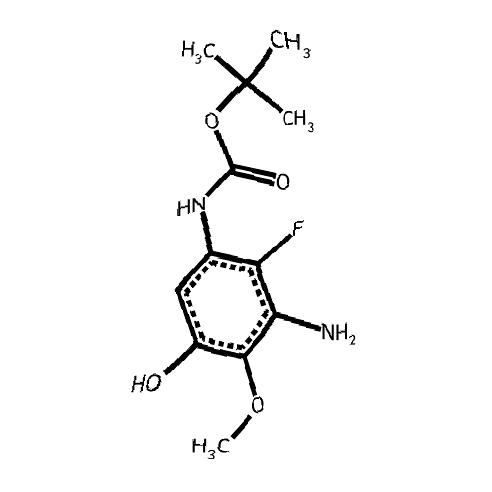 COc1c(O)cc(NC(=O)OC(C)(C)C)c(F)c1N